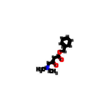 CN(C)CC(=O)CC(=O)OCc1ccccc1